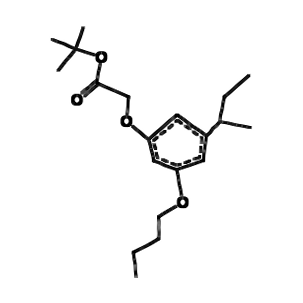 CCCCOc1cc(OCC(=O)OC(C)(C)C)cc(C(C)CC)c1